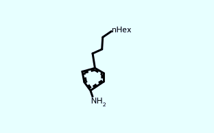 CCCCCCCCCc1ccc(N)cc1